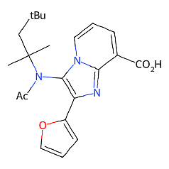 CC(=O)N(c1c(-c2ccco2)nc2c(C(=O)O)cccn12)C(C)(C)CC(C)(C)C